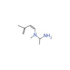 C=C(C)/C=C\N(C)C(C)N